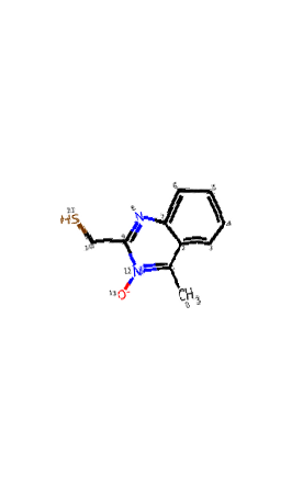 Cc1c2ccccc2nc(CS)[n+]1[O-]